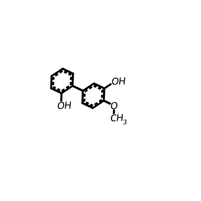 COc1ccc(-c2ccccc2O)cc1O